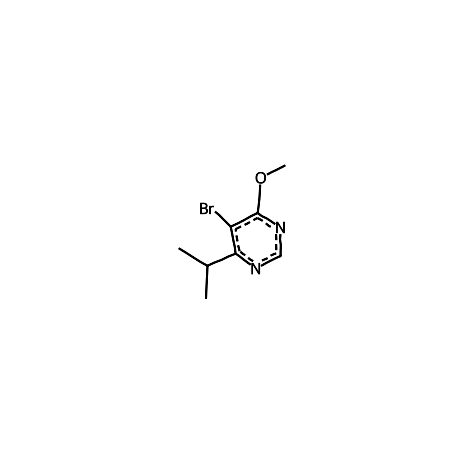 COc1ncnc(C(C)C)c1Br